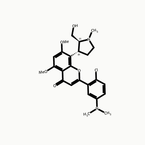 COc1cc(OC)c2c(=O)cc(-c3cc(N(C)C)ccc3Cl)oc2c1[C@H]1CCN(C)[C@@H]1CO